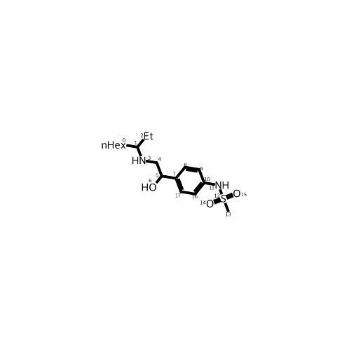 CCCCCCC(CC)NCC(O)c1ccc(NS(C)(=O)=O)cc1